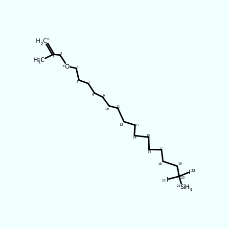 C=C(C)COCCCCCCCCCCCCCCCC([SiH3])(I)I